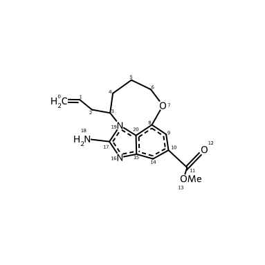 C=CCC1CCCOc2cc(C(=O)OC)cc3nc(N)n1c23